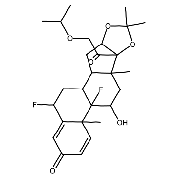 CC(C)OCC(=O)C12OC(C)(C)OC1CC1C3CC(F)C4=CC(=O)C=CC4(C)C3(F)C(O)CC12C